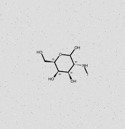 OC[C@H]1OC(O)[C@H](NI)[C@@H](O)[C@H]1O